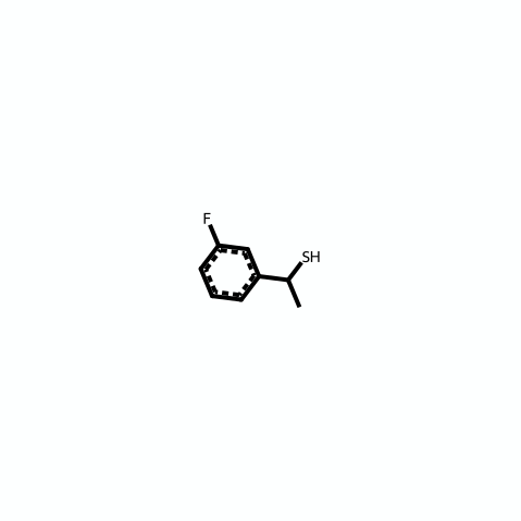 CC(S)c1cccc(F)c1